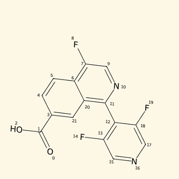 O=C(O)c1ccc2c(F)cnc(-c3c(F)cncc3F)c2c1